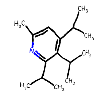 Cc1cc(C(C)C)c(C(C)C)c(C(C)C)n1